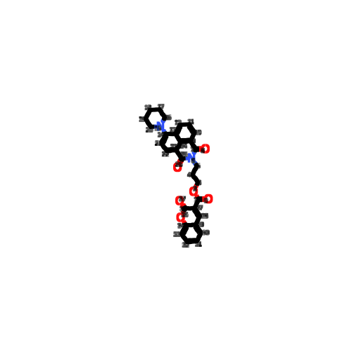 O=C(OCCCN1C(=O)c2cccc3c(N4CCCCC4)ccc(c23)C1=O)c1cc2ccccc2oc1=O